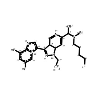 CCN(CCCCF)C(O)C1=CC2C(C=N1)C(c1cnc3c(F)cc(F)cn13)=NN2CC(F)(F)F